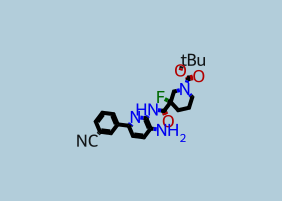 CC(C)(C)OC(=O)N1CCCC(F)(C(=O)Nc2nc(-c3cccc(C#N)c3)ccc2N)C1